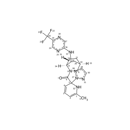 CC1=CC=CC(C(=O)N2C[C@@H]3CC[C@H]2[C@H](Nc2cnc(C(F)(F)F)cn2)C3)(n2nccn2)N1